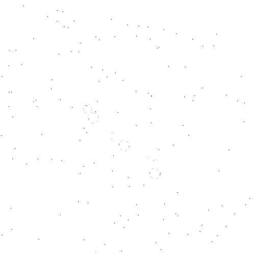 O=C(NCc1ccn2ccnc2c1)Nc1ccc(C2CCN(C(=O)c3cccc(F)c3)CC2)cc1